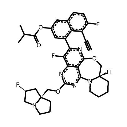 C#Cc1c(F)ccc2cc(OC(=O)C(C)C)cc(-c3nc4c5c(nc(OC[C@@]67CCCN6C[C@H](F)C7)nc5c3F)N3CCCC[C@H]3CO4)c12